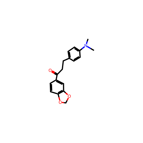 CN(C)c1ccc(CCC(=O)c2ccc3c(c2)OCO3)cc1